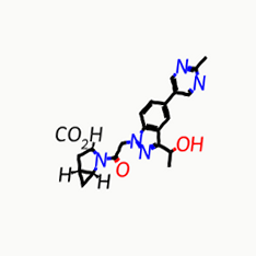 Cc1ncc(-c2ccc3c(c2)c(C(C)O)nn3CC(=O)N2[C@@H]3C[C@@H]3C[C@H]2C(=O)O)cn1